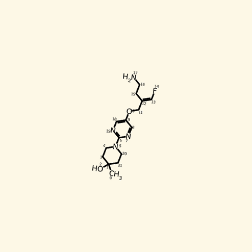 CC1(O)CCN(c2ncc(OC/C(=C/F)CCN)cn2)CC1